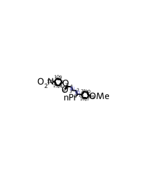 CCC/C(=C\C=C\C(=O)Oc1ccc([N+](=O)[O-])cc1)c1ccc(OC)cc1